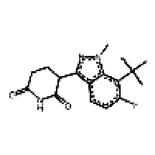 Cn1nc(C2CCC(=O)NC2=O)c2ccc(F)c(C(C)(C)C)c21